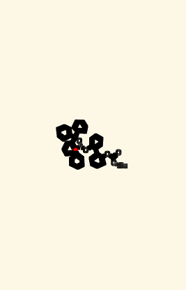 CC(C)(C)OC(=O)Oc1ccccc1-c1ccccc1OP(Oc1ccccc1)OC(c1ccccc1)(c1ccccc1)c1ccccc1